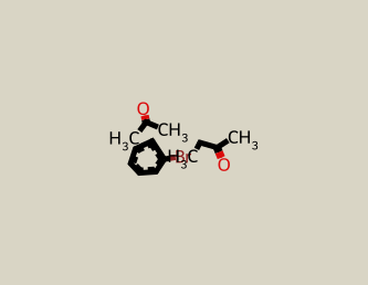 Brc1ccccc1.CC(C)=O.CCC(C)=O